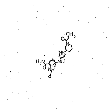 C=CC(=O)N1CCCC(n2cc(Nc3ncc(C(N)=O)c(NCC4CC4)n3)cn2)C1